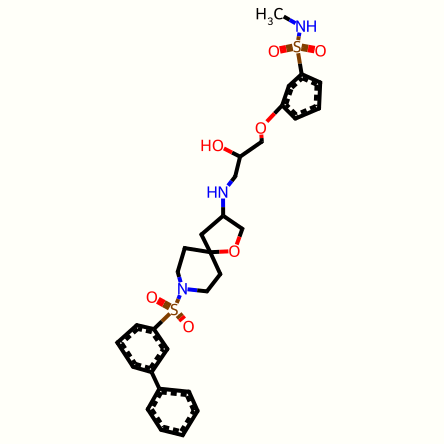 CNS(=O)(=O)c1cccc(OCC(O)CNC2COC3(CCN(S(=O)(=O)c4cccc(-c5ccccc5)c4)CC3)C2)c1